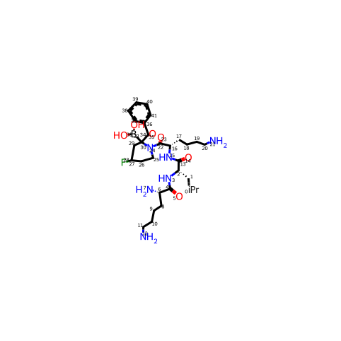 CC(C)C[C@H](NC(=O)[C@@H](N)CCCCN)C(=O)N[C@@H](CCCCN)C(=O)N1CCC(F)CC1(B(O)O)C(=O)c1ccccc1